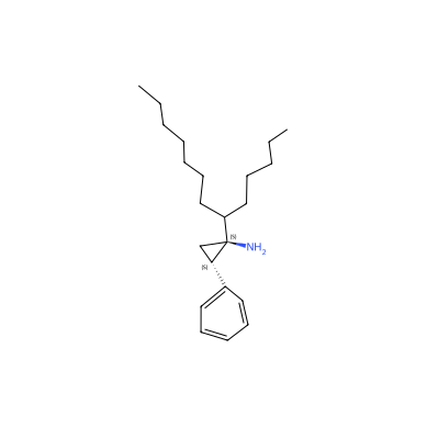 CCCCCCCC(CCCCC)[C@@]1(N)C[C@H]1c1ccccc1